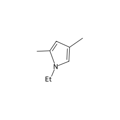 CCn1cc(C)cc1C